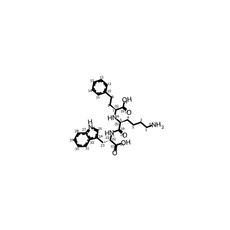 NCCCC[C@H](N[C@@H](CCc1ccccc1)C(=O)O)C(=O)N[C@@H](Cc1c[nH]c2ccccc12)C(=O)O